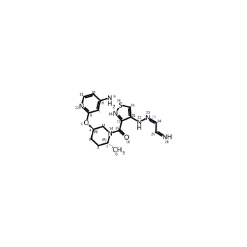 C[C@@H]1CC[C@@H](Oc2cc(N)ccn2)CN1C(=O)c1nscc1N/N=C\C=N